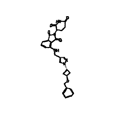 O=C1CCC(N2C(=O)c3cccc(NCc4cnn([C@H]5C[C@H](OCc6ccccc6)C5)c4)c3C2=O)C(=O)N1